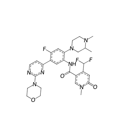 CC1CN(c2cc(F)c(-c3ccnc(N4CCOCC4)n3)cc2NC(=O)c2cn(C)c(=O)cc2C(F)F)CCN1C